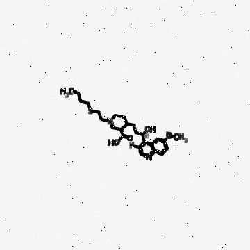 CCCCSCCN1CCC(CC[C@@H](O)c2c(F)cnc3ccc(OC)cc23)C(C(=O)O)C1